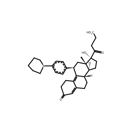 C[C@]12C[C@H](c3ccc(N4CCCCC4)cc3)C3=C4CCC(=O)C=C4CC[C@H]3[C@@H]1CC[C@]2(O)C(=O)CCC(=O)O